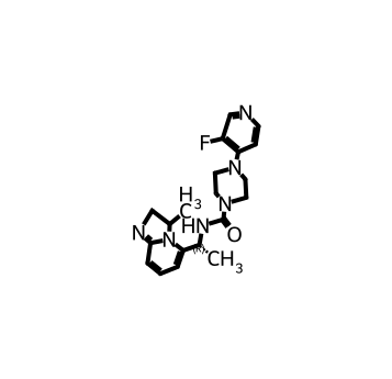 CC1CN=C2C=CC=C([C@@H](C)NC(=O)N3CCN(c4ccncc4F)CC3)N21